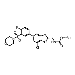 CC(C)(C)OC(=O)NCC1Cc2cc(-c3ccc(F)c(S(=O)(=O)N4CCOCC4)c3)cc(Cl)c2O1